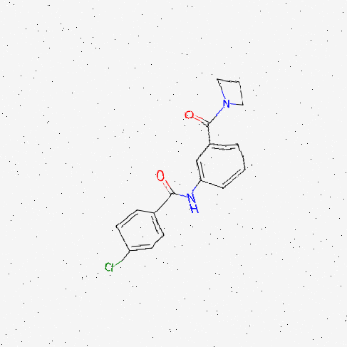 O=C(Nc1cccc(C(=O)N2CCC2)c1)c1ccc(Cl)cc1